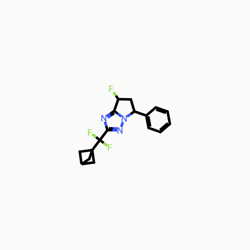 FC1CC(c2ccccc2)n2nc(C(F)(F)C34CC(C3)C4)nc21